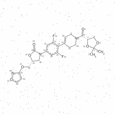 CC1(C)OC[C@@H](C(=O)N2CC=C(c3c(F)cc(N4C[C@H](COc5ccon5)OC4=O)cc3F)CC2)O1